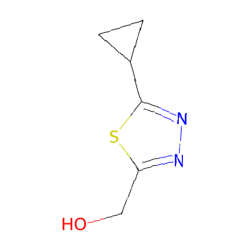 OCc1nnc(C2CC2)s1